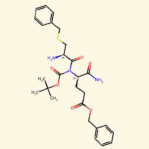 CC(C)(C)OC(=O)N(C(=O)[C@@H](N)CSCc1ccccc1)[C@H](CCC(=O)OCc1ccccc1)C(N)=O